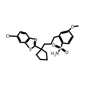 COc1ccc(S(N)(=O)=O)c(CCCC2(c3nc4ccc(Cl)cc4s3)CCCC2)c1